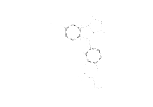 CCCCC(Sc1ccc(N2c3ccc(C=O)cc3C3CCCC32)cc1)C(=O)O